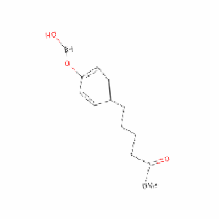 COC(=O)CCCCc1ccc(OBO)cc1